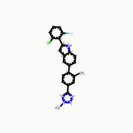 Cc1cc(-c2nnn(C)n2)ccc1-c1ccc2[nH]c(-c3c(F)cccc3Cl)cc2c1